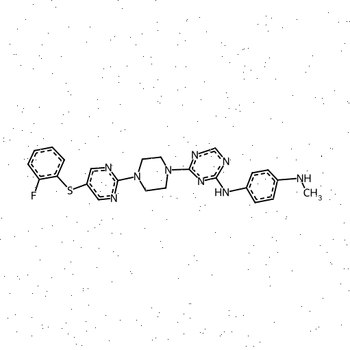 CNc1ccc(Nc2ncnc(N3CCN(c4ncc(Sc5ccccc5F)cn4)CC3)n2)cc1